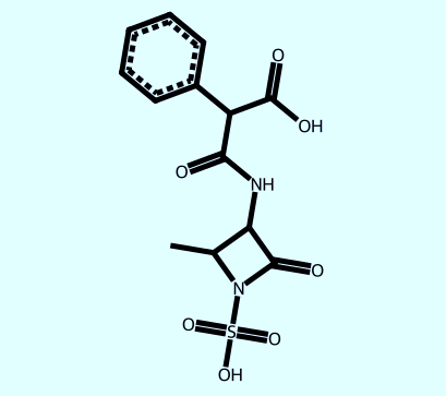 CC1C(NC(=O)C(C(=O)O)c2ccccc2)C(=O)N1S(=O)(=O)O